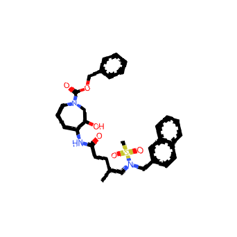 CC(CCC(=O)NC1CCCN(C(=O)OCc2ccccc2)CC1O)CN(Cc1ccc2ccccc2c1)S(C)(=O)=O